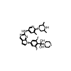 Cc1cc(Nc2ncc3ccn(-c4cc(F)c(C(O)(O)N5CCSCC5)c(F)c4)c3n2)cnc1N1CC(C)NC(C)C1